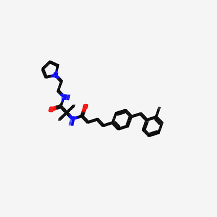 Cc1ccccc1Cc1ccc(CCCC(=O)NC(C)(C)C(=O)NCCN2CCCC2)cc1